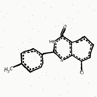 Cc1ccc(-c2nc3c(Cl)cccc3c(=O)[nH]2)cc1